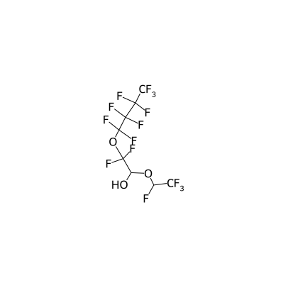 OC(OC(F)C(F)(F)F)C(F)(F)OC(F)(F)C(F)(F)C(F)(F)C(F)(F)F